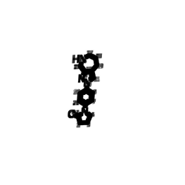 O=C1CCCN1c1ccc(-n2cc3c(n2)CNCCC3)cc1